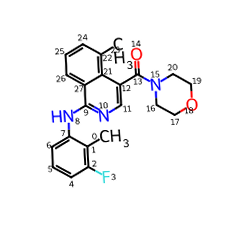 Cc1c(F)cccc1Nc1ncc(C(=O)N2CCOCC2)c2c(C)cccc12